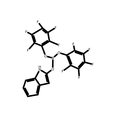 Fc1c(F)c(F)c(OB(Oc2cc3ccccc3[nH]2)Oc2c(F)c(F)c(F)c(F)c2F)c(F)c1F